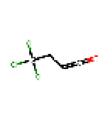 O=C=CC[Si](Cl)(Cl)Cl